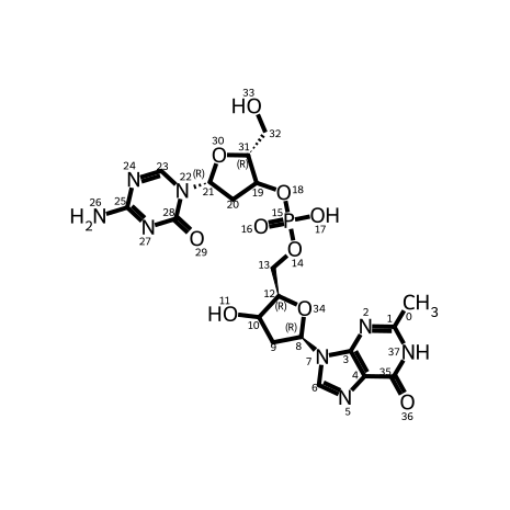 Cc1nc2c(ncn2[C@H]2CC(O)[C@@H](COP(=O)(O)OC3C[C@H](n4cnc(N)nc4=O)O[C@@H]3CO)O2)c(=O)[nH]1